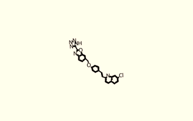 Clc1ccc2ccc(C=Cc3ccc(OCc4ccc5nc(-c6nnn[nH]6)oc5c4)cc3)nc2c1